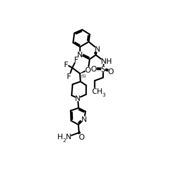 CCCS(=O)(=O)Nc1nc2ccccc2nc1O[C@@H](C1CCN(c2ccc(C(N)=O)nc2)CC1)C(F)(F)F